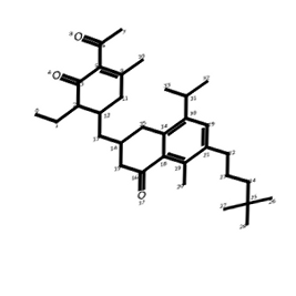 CCC1C(=O)C(C(C)=O)=C(C)CC1CC1CC(=O)c2c(C)c(CCCC(C)(C)C)cc(C(C)C)c2C1